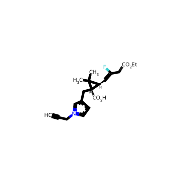 C#CCn1ccc(C[C@@]2(C(=O)O)[C@H](C=C(F)CC(=O)OCC)C2(C)C)c1